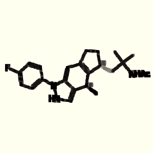 CC(=O)NC(C)(C)C[C@H]1CCC2=C1[C@@H](C)C1=CNN(c3ccc(F)cc3)C1=C2